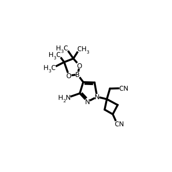 CC1(C)OB(c2cn(C3(CC#N)CC(C#N)C3)nc2N)OC1(C)C